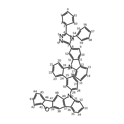 c1ccc(-c2nnc(-c3ccc4c5ccccc5n(-c5ccccc5-c5cccc(-n6c7ccccc7c7cc8oc9ccccc9c8cc76)c5)c4c3)n2-c2ccccc2)cc1